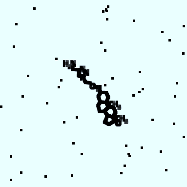 C[C@]12CC/C(=N/OCCn3cc(CN)nn3)CC1CCC1C2CC[C@]2(C)C(=O)CCC12